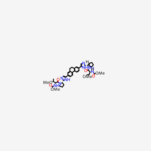 COC(=O)N[C@H](C(=O)N1CCC[C@H]1c1ncc(-c2ccc3c(c2)CCc2cc(-c4cnc([C@@H]5[C@H]6CC[C@H](C6)N5C(=O)[C@@H](NC(=O)OC)[C@@H](C)OC)[nH]4)ccc2-3)[nH]1)[C@@H](C)OC